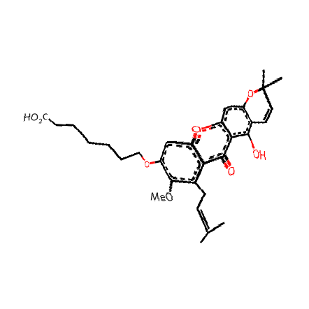 COc1c(OCCCCCCC(=O)O)cc2oc3cc4c(c(O)c3c(=O)c2c1CC=C(C)C)C=CC(C)(C)O4